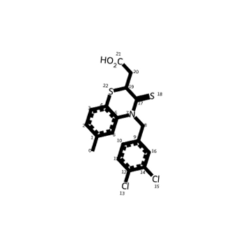 Cc1ccc2c(c1)N(Cc1ccc(Cl)c(Cl)c1)C(=S)C(CC(=O)O)S2